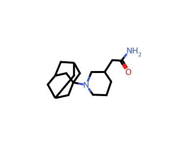 NC(=O)CC1CCCN(C23CC4CC(CC(C4)C2)C3)C1